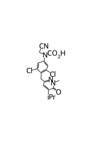 CC(C)c1cc(Cc2c(Cl)cc(N(CC#N)C(=O)O)cc2Cl)nn(C)c1=O